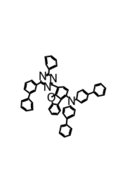 C1=CC(N(c2ccc(-c3ccccc3)cc2)c2ccc(-c3nc(-c4ccccc4)nc(-c4cccc(-c5ccccc5)c4)n3)c3oc4ccccc4c23)CC=C1c1ccccc1